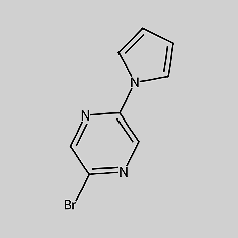 Brc1cnc(-n2cccc2)cn1